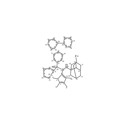 CC1=C(C)C(C)[C]([Zr]([NH]C23CC4CC(CC(F)(C4)C2)C3)[GeH]([c]2ccccc2)[c]2ccccc2)=C1C.c1ccc(-c2ccccc2)cc1